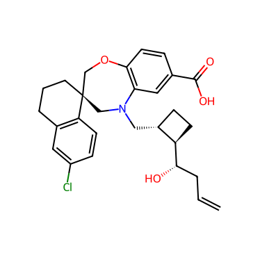 C=CC[C@H](O)[C@@H]1CC[C@H]1CN1C[C@@]2(CCCc3cc(Cl)ccc32)COc2ccc(C(=O)O)cc21